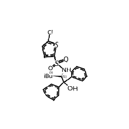 CC[C@H](C)[C@H](NS(=O)(=O)c1ccc(Cl)s1)C(O)(c1ccccc1)c1ccccc1